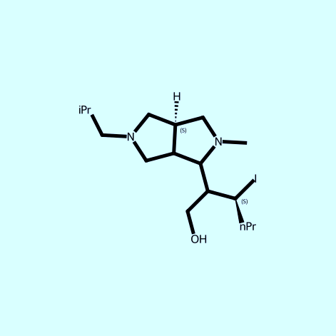 CCC[C@H](I)C(CO)C1C2CN(CC(C)C)C[C@H]2CN1C